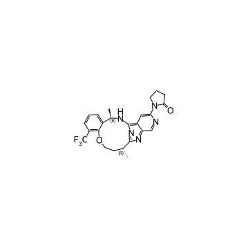 C[C@@H]1CCOc2c(cccc2C(F)(F)F)[C@@H](C)Nc2nc1nc1cnc(N3CCCC3=O)cc21